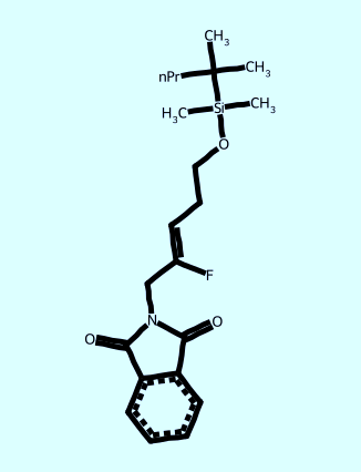 CCCC(C)(C)[Si](C)(C)OCC/C=C(\F)CN1C(=O)c2ccccc2C1=O